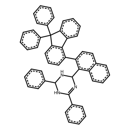 c1ccc(C2=NC(c3c(-c4cccc5c4-c4ccccc4C5(c4ccccc4)c4ccccc4)ccc4ccccc34)NC(c3ccccc3)N2)cc1